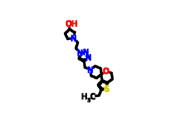 CCc1cc2c(s1)CCOC21CCN(Cc2cn(CCN3CCC(O)C3)nn2)CC1